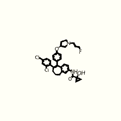 O=C(Nc1ccc2c(c1)CCCC(c1ccc(Cl)cc1Cl)=C2c1ccc(O[C@H]2CCN(CCCF)C2)cc1)C1(O)CC1